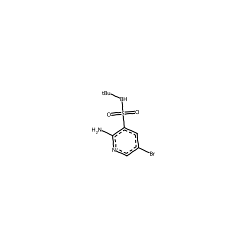 CC(C)(C)BS(=O)(=O)c1cc(Br)cnc1N